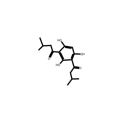 CC(C)CC(=O)c1c(O)cc(O)c(C(=O)CC(C)C)c1O